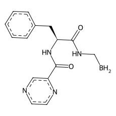 BCNC(=O)[C@H](Cc1ccccc1)NC(=O)c1cnccn1